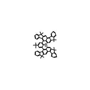 CC(C)(C)c1cc2c3c(c1)-c1c4c(cc5c6c(cc(c15)B3c1cc3c(c5cc7c(c-2c15)-c1ccccc1C7(C)C)-c1ccccc1C3(C)C)C(C)(C)c1ccccc1-6)C(C)(C)c1ccccc1-4